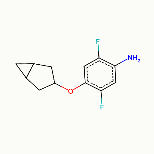 Nc1cc(F)c(OC2CC3CC3C2)cc1F